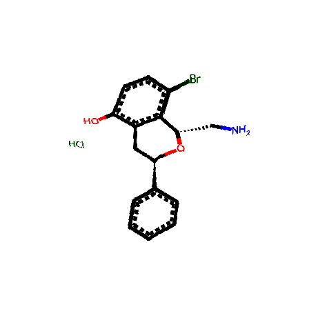 Cl.NC[C@@H]1O[C@@H](c2ccccc2)Cc2c(O)ccc(Br)c21